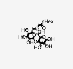 CCCCCCC(=O)COC[C@H]1O[C@@H](O[C@H]2[C@H](O)[C@@H](O)[C@H](O)O[C@@H]2CO)[C@H](O)[C@@H](O)[C@@H]1O